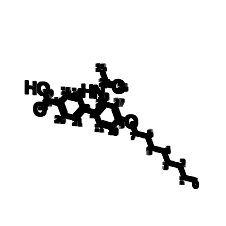 CCCCCCCCOc1ccc(-c2ccc(C(=O)O)cc2)c(NC(C)=O)c1